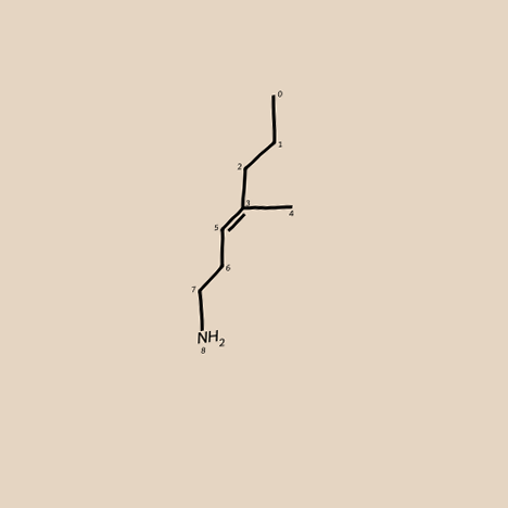 CCC/C(C)=C/CCN